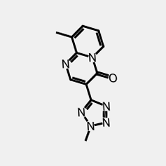 Cc1cccn2c(=O)c(-c3nnn(C)n3)cnc12